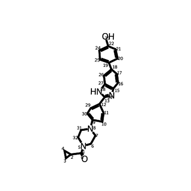 O=C(C1CC1)N1CCN(c2ccc(-c3nc4ccc(-c5ccc(O)cc5)cc4[nH]3)cc2)CC1